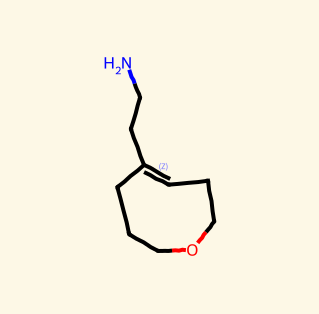 NCC/C1=C\CCOCCC1